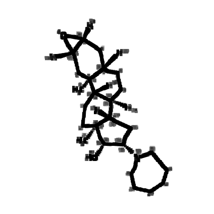 C[C@]12C[C@@H]3O[C@@H]3C[C@@H]1CC[C@@H]1[C@@H]2CC[C@]2(C)[C@@H](O)[C@@H](N3CCCCCC3)C[C@@H]12